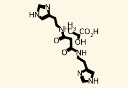 CC(O)C(=O)O.O=C(CC(=O)NCCc1c[nH]cn1)NCCc1c[nH]cn1